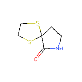 O=C1NCCC12SCCS2